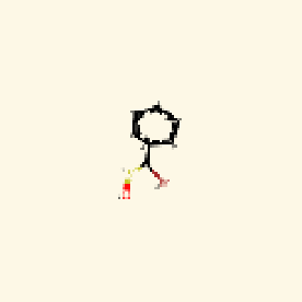 O=[S+]C(Br)c1ccccc1